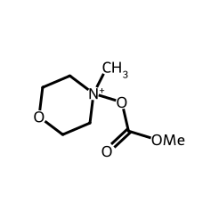 COC(=O)O[N+]1(C)CCOCC1